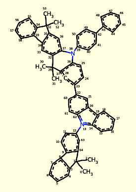 CC1(C)c2ccccc2-c2ccc(-n3c4ccccc4c4cc(-c5ccc6c(c5)C(C)(C)c5cc7c(cc5N6c5ccc(-c6ccccc6)cc5)C(C)(C)c5ccccc5-7)ccc43)cc21